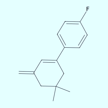 C=C1C=C(c2ccc(F)cc2)CC(C)(C)C1